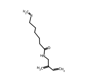 C=CC(=C)CNC(=O)CCCCCN=C